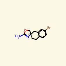 NC1=N[C@]2(CCc3ccc(Br)cc3C2)CO1